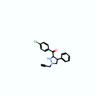 C#CCN1CC(c2ccccc2)C(C(=O)c2ccc(Cl)cc2)N1